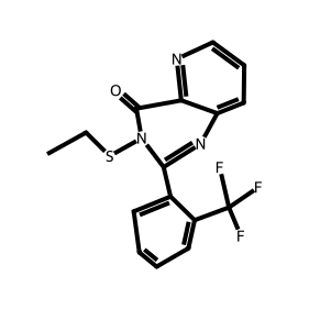 CCSn1c(-c2ccccc2C(F)(F)F)nc2cccnc2c1=O